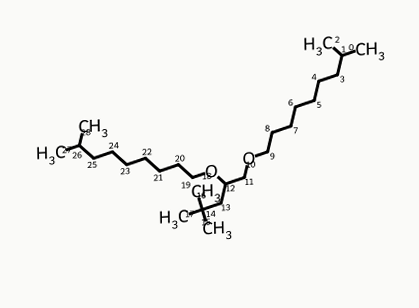 CC(C)CCCCCCCOCC(CC(C)(C)C)OCCCCCCCC(C)C